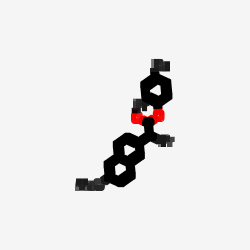 CCC(C)c1ccc(OC(OC(C)C)C(c2ccc3cc(OC)ccc3c2)C(C)C)cc1